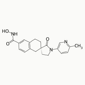 Cc1ccc(N2CC[C@]3(CCc4cc(C(=O)NO)ccc4C3)C2=O)cn1